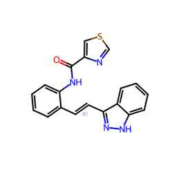 O=C(Nc1ccccc1/C=C/c1n[nH]c2ccccc12)c1cscn1